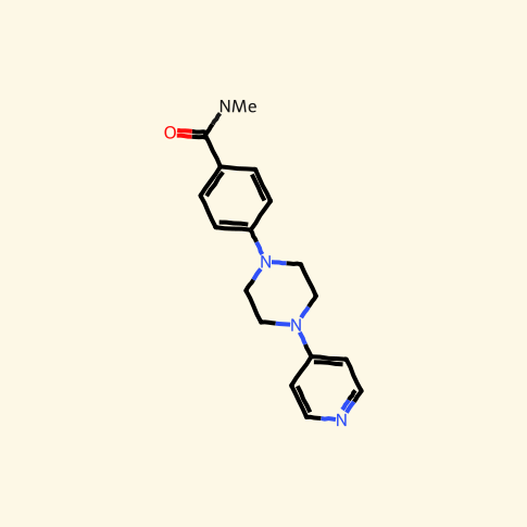 CNC(=O)c1ccc(N2CCN(c3ccncc3)CC2)cc1